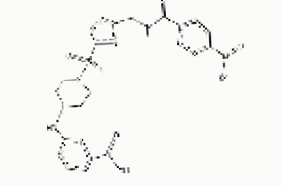 O=C(O)c1cccc(NC2CCN(S(=O)(=O)c3ccc(CNC(=O)c4ccc([N+](=O)[O-])cc4)s3)CC2)c1